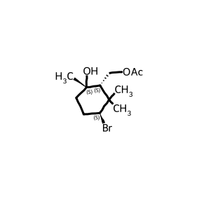 CC(=O)OC[C@@H]1C(C)(C)[C@@H](Br)CC[C@]1(C)O